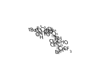 CC(C)(C)OC(=O)Nc1c(F)ccc(NC(=O)c2cc(NCC3(C=O)C(c4cc(Br)cc(C(F)(F)F)c4)C3(Cl)Cl)ccc2Cl)c1F